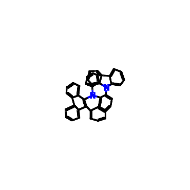 c1ccc(-c2c(N(c3ccccc3)c3ccccc3-n3c4ccccc4c4ccccc43)c3ccccc3c3ccccc23)cc1